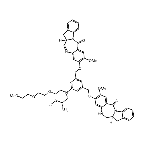 CCS[C@@H](C)CN(CCOCCOCCOC)c1cc(COc2cc3c(cc2OC)C(=O)N2c4ccccc4C[C@H]2C=N3)cc(COc2cc3c(cc2OC)C(=O)N2c4ccccc4C[C@H]2CN3)c1